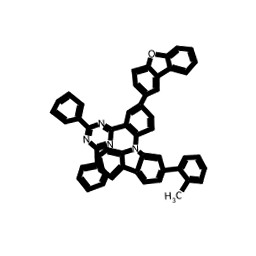 Cc1ccccc1-c1ccc2c3ccccc3n(-c3ccc(-c4ccc5oc6ccccc6c5c4)cc3-c3nc(-c4ccccc4)nc(-c4ccccc4)n3)c2c1